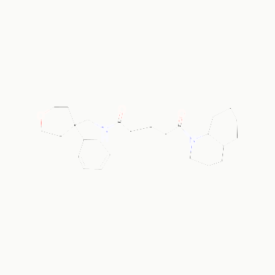 O=C(CCCC(=O)N1CCCC2CCCCC21)NCC1(C2C=CC=CC2)CCOCC1